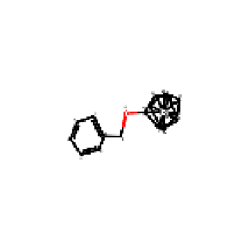 c1ccc(CO[C]23[CH]4[CH]5[CH]6[CH]2[Fe]56432789[CH]3[CH]2[CH]7[CH]8[CH]39)cc1